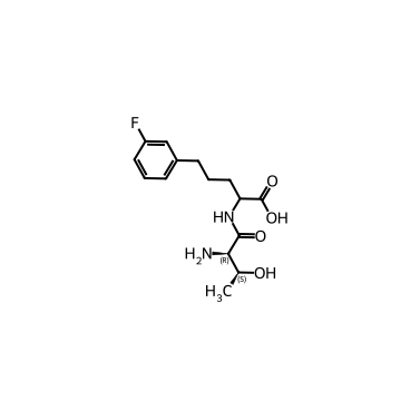 C[C@H](O)[C@@H](N)C(=O)NC(CCCc1cccc(F)c1)C(=O)O